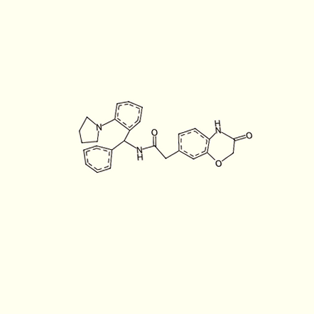 O=C1COc2cc(CC(=O)NC(c3ccccc3)c3ccccc3N3CCCC3)ccc2N1